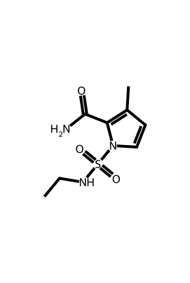 CCNS(=O)(=O)n1ccc(C)c1C(N)=O